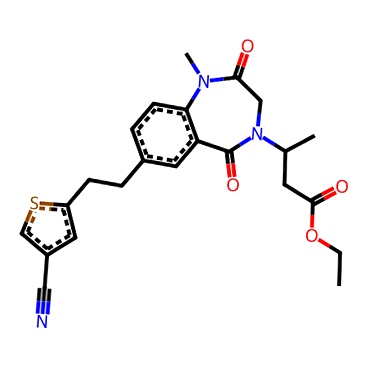 CCOC(=O)CC(C)N1CC(=O)N(C)c2ccc(CCc3cc(C#N)cs3)cc2C1=O